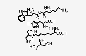 CC(C)C[C@@H](NCCCCCCC(N)C(=O)O)C(=O)O.NCCCC[C@H](N)C(=O)OC(=O)[C@H](N)Cc1c[nH]c2ccccc12.N[C@@H](Cc1c[nH]cn1)C(=O)O.N[C@H](CO)C(=O)O